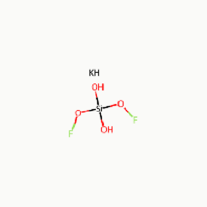 O[Si](O)(OF)OF.[KH]